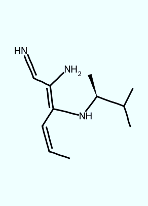 C/C=C\C(N[C@@H](C)C(C)C)=C(\N)C=N